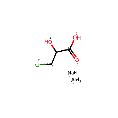 O=C(O)C(O)CCl.[AlH3].[NaH]